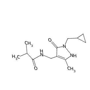 Cc1[nH]n(CC2CC2)c(=O)c1CNC(=O)C(C)C